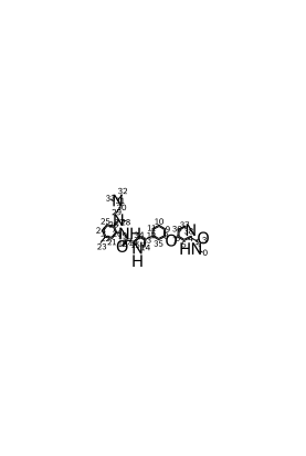 CNC(=O)c1cc(Oc2cccc(-c3c[nH]c(C(=O)Nc4cc(C)ccc4N(C)CCN(C)C)c3)c2)ccn1